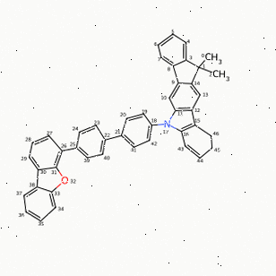 CC1(C)c2ccccc2-c2cc3c(cc21)c1c(n3-c2ccc(-c3ccc(-c4cccc5c4oc4ccccc45)cc3)cc2)C=CCC1